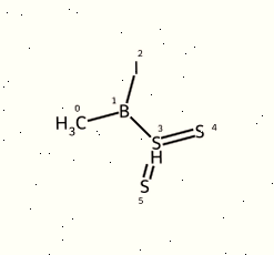 CB(I)[SH](=S)=S